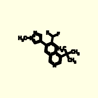 Cn1cc(-c2cc3cncc(C(C)(C)C)c3cc2C(F)F)cn1